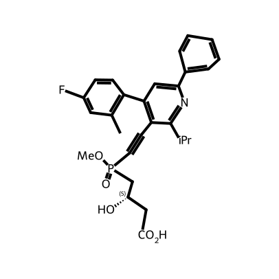 COP(=O)(C#Cc1c(-c2ccc(F)cc2C)cc(-c2ccccc2)nc1C(C)C)C[C@@H](O)CC(=O)O